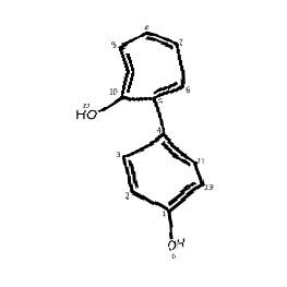 Oc1ccc(-c2c[c]ccc2O)cc1